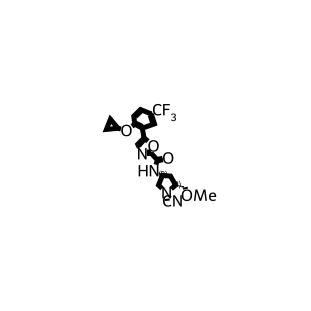 COC[C@H]1C[C@@H](NC(=O)c2ncc(-c3cc(C(F)(F)F)ccc3OC3CC3)o2)CN1C#N